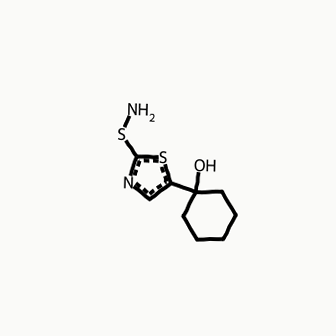 NSc1ncc(C2(O)CCCCC2)s1